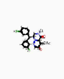 CCN1C[C@H](C(c2cccc(F)c2)c2cccc(F)c2)n2ncc(=O)c(OC(C)=O)c2C1=O